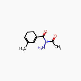 CC(=O)N(N)C(=O)C1=CC(C)=CC[CH]1